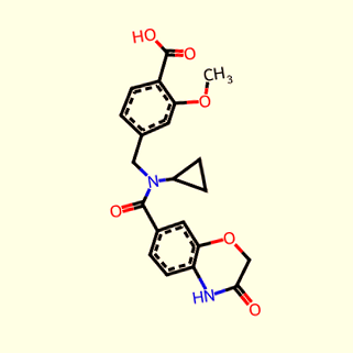 COc1cc(CN(C(=O)c2ccc3c(c2)OCC(=O)N3)C2CC2)ccc1C(=O)O